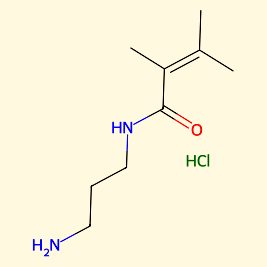 CC(C)=C(C)C(=O)NCCCN.Cl